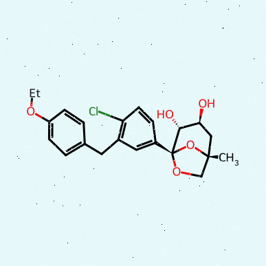 CCOc1ccc(Cc2cc([C@@]34OC[C@@](C)(C[C@H](O)[C@H]3O)O4)ccc2Cl)cc1